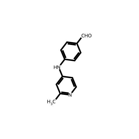 Cc1cc(Nc2ccc(C=O)cc2)ccn1